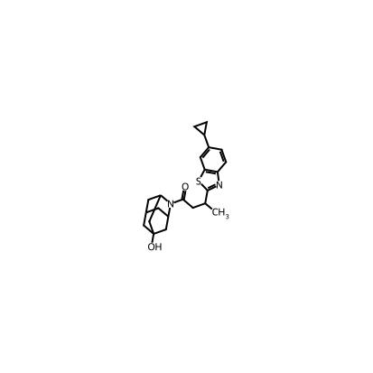 CC(CC(=O)N1C2CC3CC1CC(O)(C3)C2)c1nc2ccc(C3CC3)cc2s1